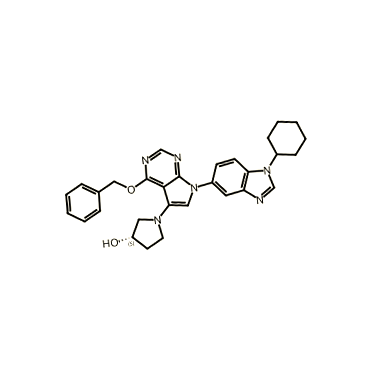 O[C@H]1CCN(c2cn(-c3ccc4c(c3)ncn4C3CCCCC3)c3ncnc(OCc4ccccc4)c23)C1